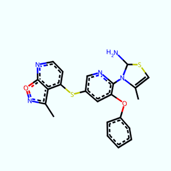 CC1=CSC(N)N1c1ncc(Sc2ccnc3onc(C)c23)cc1Oc1ccccc1